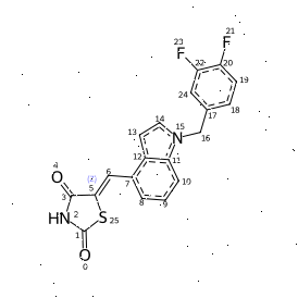 O=C1NC(=O)/C(=C/c2cccc3c2ccn3Cc2ccc(F)c(F)c2)S1